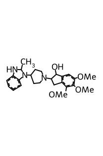 COc1cc2c(c(OC)c1OC)CC(N1CCC(N3c4ccccc4NC3C)CC1)C2O